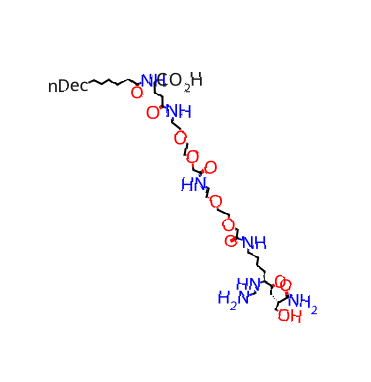 CCCCCCCCCCCCCCCC(=O)NC(CCC(=O)NCCOCCOCC(=O)NCCOCCOCC(=O)NCCCC[C@H](NCN)C(=O)C[C@@H](CO)C(N)=O)C(=O)O